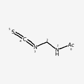 CC(=O)NCN=C=S